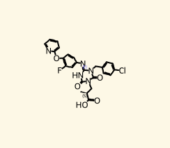 C[C@@H](Cn1c(=O)[nH]/c(=N\c2ccc(Oc3ccccn3)c(F)c2)n(Cc2ccc(Cl)cc2)c1=O)C(=O)O